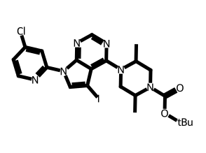 CC1CN(c2ncnc3c2c(I)cn3-c2cc(Cl)ccn2)C(C)CN1C(=O)OC(C)(C)C